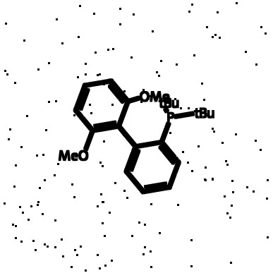 COc1cccc(OC)c1-c1ccccc1P(C(C)(C)C)C(C)(C)C